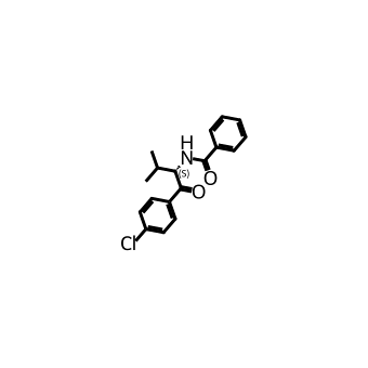 CC(C)[C@H](NC(=O)c1ccccc1)C(=O)c1ccc(Cl)cc1